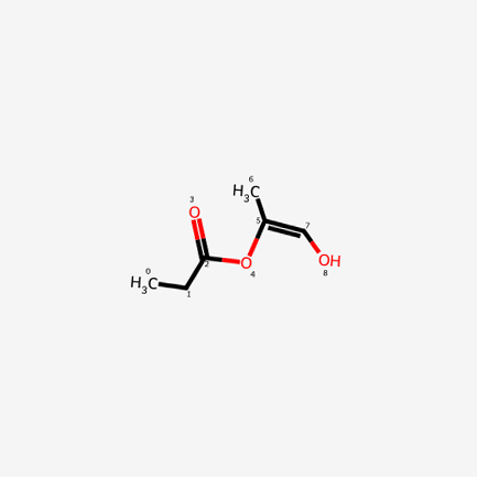 CCC(=O)O/C(C)=C\O